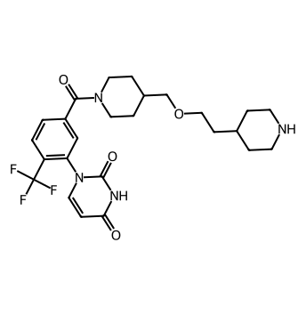 O=C(c1ccc(C(F)(F)F)c(-n2ccc(=O)[nH]c2=O)c1)N1CCC(COCCC2CCNCC2)CC1